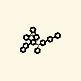 c1ccc(-c2ccc(-c3ccc(N(c4ccccc4)c4ccc(-c5ccccc5-n5c6ccccc6c6ccccc65)c(-c5ccc6ccccc6c5)c4)cc3)cc2)cc1